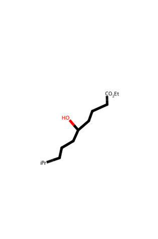 CCOC(=O)CCCC(O)CCCC(C)C